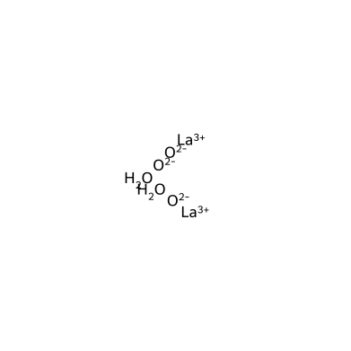 O.O.[La+3].[La+3].[O-2].[O-2].[O-2]